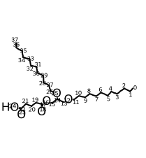 CCCCCCCCCCCCOCC(COC(=O)CCCC(=O)O)OCCCCCCCCCCCC